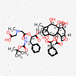 CC(=O)O[C@@]12CO[C@@H]1C[C@H](O)[C@@]1(C)[C@H](O)[C@H](O)C3[C@H](C)[C@@H](OC(=O)[C@H](OC(=O)CN(C)CC(=O)O)[C@@H](NC(=O)OC(C)(C)C)c4ccccc4)C[C@@](O)([C@@H](OC(=O)c4ccccc4)[C@H]21)C3(C)C